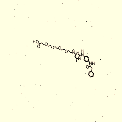 Cc1cc(N(C)CCOCCOCCOCCOCCC(=O)O)nc(Nc2ccc(NC(=O)Cc3ccccc3)cc2)n1